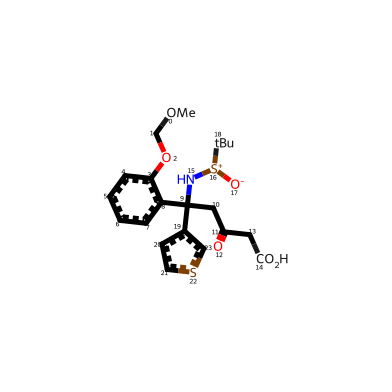 COCOc1ccccc1C(CC(=O)CC(=O)O)(N[S+]([O-])C(C)(C)C)c1ccsc1